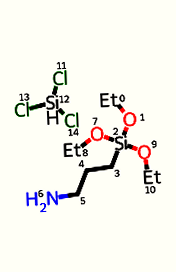 CCO[Si](CCCN)(OCC)OCC.Cl[SiH](Cl)Cl